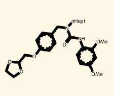 CCCCCCCN(Cc1ccc(OCC2OCCO2)cc1)C(=O)Nc1ccc(OC)cc1OC